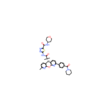 Cc1ccc2c(n1)Oc1nc(-c3ccc(C(=O)N4CCCCC4)cc3)ccc1[C@H]2C(C)(C)C(=O)Nc1nnc(C(=O)NC2CCOCC2)s1